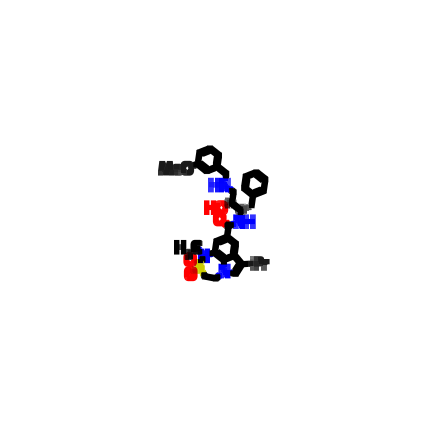 COc1cccc(CNC[C@@H](O)[C@H](Cc2ccccc2)NC(=O)c2cc3c4c(c2)c(C(C)C)cn4CCS(=O)(=O)N3C)c1